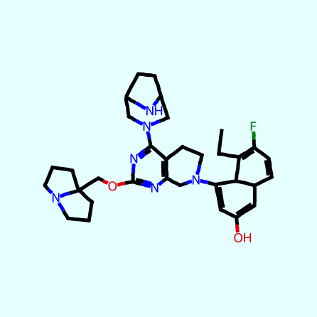 CCC1=C(F)C=CC2C=C(O)C=C(N3CCc4c(nc(OCC56CCCN5CCC6)nc4N4CC5CCC(C4)N5)C3)C12